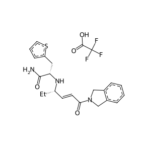 CC[C@@H](/C=C/C(=O)N1Cc2ccccc2C1)N[C@@H](Cc1cccs1)C(N)=O.O=C(O)C(F)(F)F